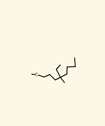 CCCCCC(C)(CC)CCCC